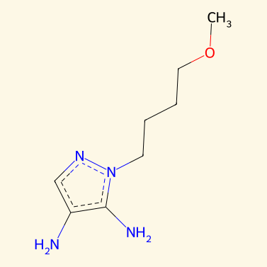 COCCCCn1ncc(N)c1N